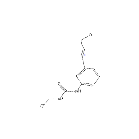 [O]C/C=C/c1cccc(NC(=O)NCCl)c1